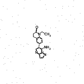 CCN1C(=O)CCc2cc(-c3cnc4ccnn4c3N)ccc21